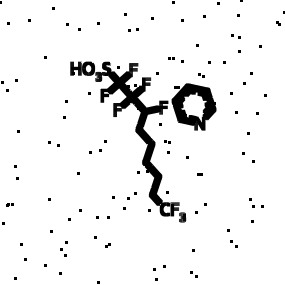 O=S(=O)(O)C(F)(F)C(F)(F)C(F)CCCCCC(F)(F)F.c1ccncc1